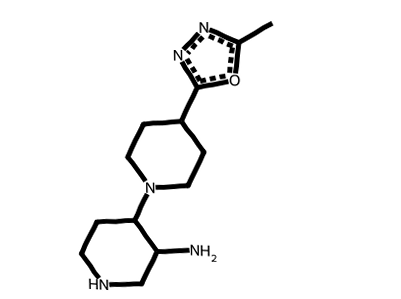 Cc1nnc(C2CCN(C3CCNCC3N)CC2)o1